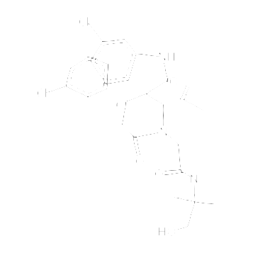 C=C(C)[C@@H]1N(CC(=O)NC(C)(C)CO)C(=O)C[C@H](c2cccc(Cl)c2)[C@@]12C(=O)Nc1cc(Cl)ccc12